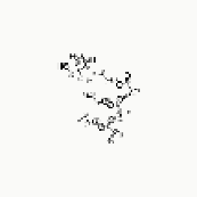 C=C(C)C(=O)OOCCC.C=C(C)C(=O)OOCCC.C=C(C)C(=O)OOCCC.CCC(CO)(CO)CO